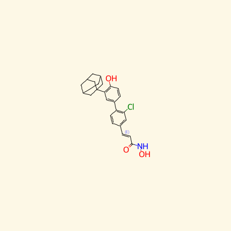 O=C(/C=C/c1ccc(-c2ccc(O)c(C34CC5CC(CC(C5)C3)C4)c2)c(Cl)c1)NO